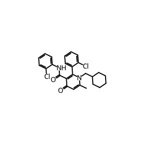 Cc1cc(=O)c(C(=O)Nc2ccccc2Cl)c(-c2ccccc2Cl)n1CC1CCCCC1